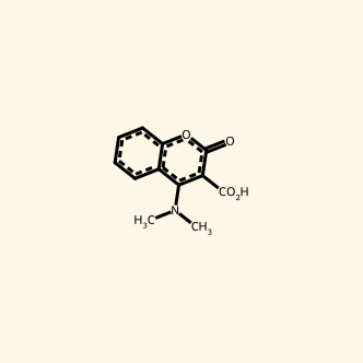 CN(C)c1c(C(=O)O)c(=O)oc2ccccc12